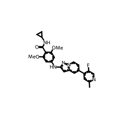 COc1cc(Nc2cc3cc(-c4cc(C)ncc4F)ccn3n2)cc(OC)c1C(=O)NC1CC1